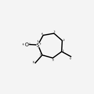 CC1CCC[S+]([O-])C(C)C1